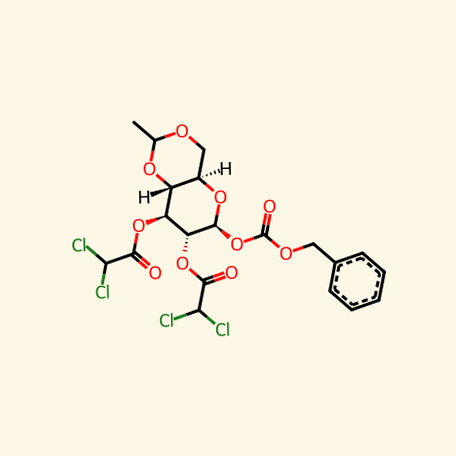 CC1OC[C@H]2O[C@@H](OC(=O)OCc3ccccc3)[C@H](OC(=O)C(Cl)Cl)[C@@H](OC(=O)C(Cl)Cl)[C@@H]2O1